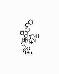 CC(C)(C)OC(=O)N1CCC[C@@H](Nc2ncnc3[nH]cc(C(=O)c4ccc(Oc5ccccc5)cc4Cl)c23)C1